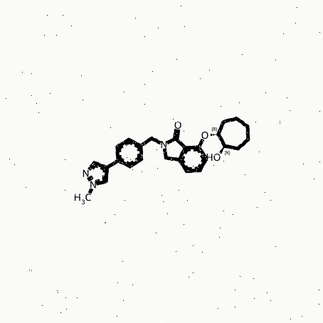 Cn1cc(-c2ccc(CN3Cc4cccc(O[C@@H]5CCCCC[C@H]5O)c4C3=O)cc2)cn1